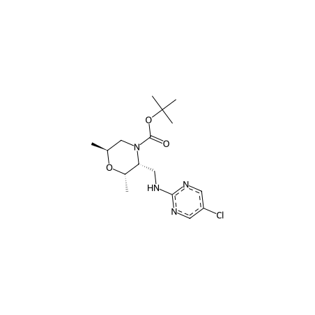 C[C@@H]1O[C@@H](C)CN(C(=O)OC(C)(C)C)[C@@H]1CNc1ncc(Cl)cn1